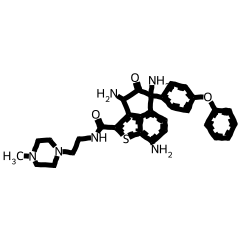 CN1CCN(CCNC(=O)c2sc3c(N)ccc4c3c2C(N)C(=O)C4(N)c2ccc(Oc3ccccc3)cc2)CC1